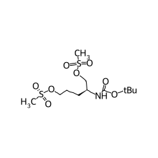 CC(C)(C)OC(=O)N[C@@H](CCCOS(C)(=O)=O)COS(C)(=O)=O